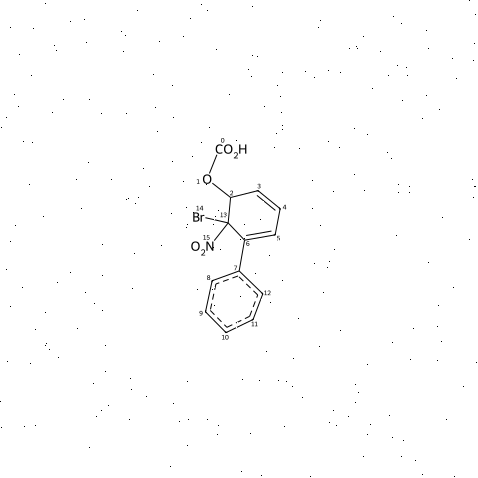 O=C(O)OC1C=CC=C(c2ccccc2)C1(Br)[N+](=O)[O-]